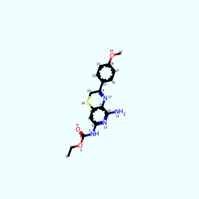 CCOC(=O)Nc1cc2c(c(N)n1)N=C(c1ccc(OC)cc1)CS2